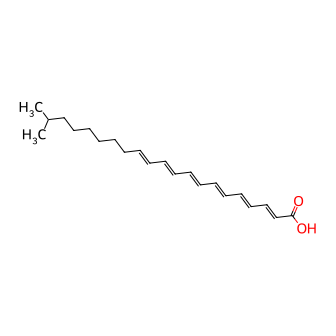 CC(C)CCCCCCC=CC=CC=CC=CC=CC=CC(=O)O